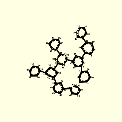 c1ccc(-c2cc(-c3cccc(-c4cccnc4)c3)cc(-c3nc(-c4ccccc4)nc(-c4cc(-c5ccccc5)cc(-c5cccc(-c6ccccn6)c5)c4)n3)c2)cc1